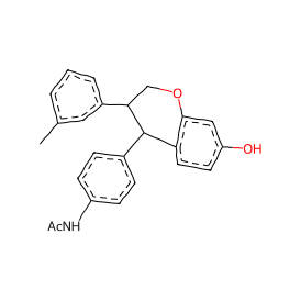 CC(=O)Nc1ccc(C2c3ccc(O)cc3OCC2c2cccc(C)c2)cc1